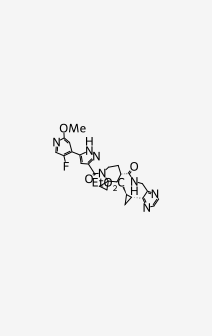 CCOC(=O)[C@@H]1C[C@H]1c1nccnc1CNC(=O)[C@H]1CCN(C(=O)c2cc(-c3cc(OC)ncc3F)[nH]n2)C2(CC2)C1